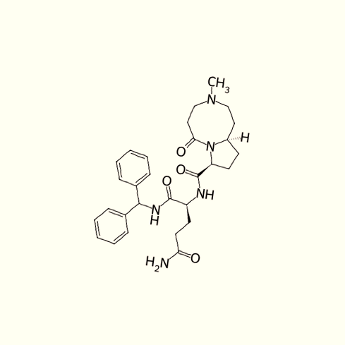 CN1CCC(=O)N2[C@H](CC[C@H]2C(=O)N[C@@H](CCC(N)=O)C(=O)NC(c2ccccc2)c2ccccc2)CC1